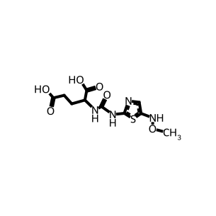 CONc1cnc(NC(=O)NC(CCC(=O)O)C(=O)O)s1